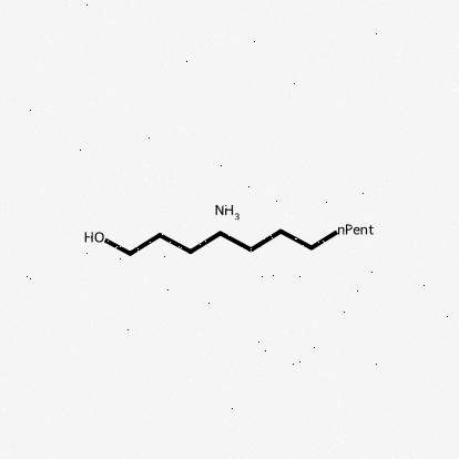 CCCCCCCCCCCCO.N